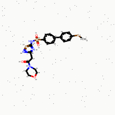 CSc1ccc(-c2ccc(S(=O)(=O)Nc3nc(CC(=O)N4CCOCC4)ns3)cc2)cc1